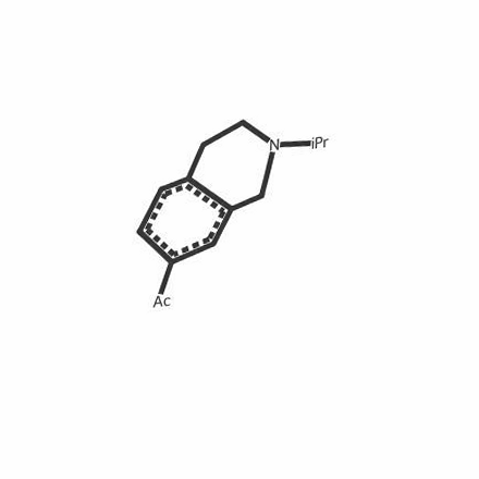 CC(=O)c1ccc2c(c1)CN(C(C)C)CC2